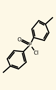 Cc1ccc(P(=O)(Cl)c2ccc(C)cc2)cc1